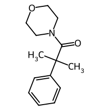 CC(C)(C(=O)N1CCOCC1)c1ccccc1